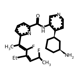 CCC(=C/C(C)F)/C(F)=C(\C)c1cccc(C(=O)Nc2cnccc2[C@@H]2CCC[C@H](N)C2)n1